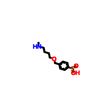 CNCCCCOCc1ccc(S(=O)O)cc1